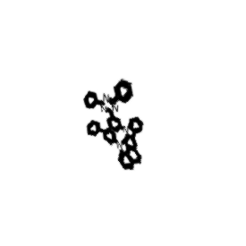 c1ccc(-c2ccc(-n3c4cccc5c4c4c(cc6c7ccccc7n(-c7cccc(-c8nc(-c9ccccc9)nc(-c9ccccc9)n8)c7)c6c43)CC5)cc2)cc1